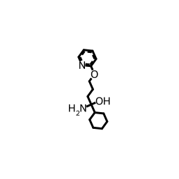 NC(O)(CCCOc1ccccn1)C1CCCCC1